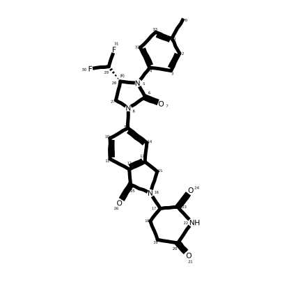 Cc1ccc(N2C(=O)N(c3ccc4c(c3)CN(C3CCC(=O)NC3=O)C4=O)C[C@@H]2C(F)F)cc1